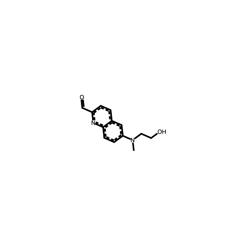 CN(CCO)c1ccc2nc(C=O)ccc2c1